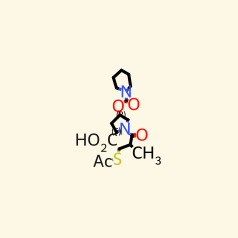 CC(=O)SCC(C)C(=O)N1C[C@H](OC(=O)N2CCCCC2)C[C@H]1C(=O)O